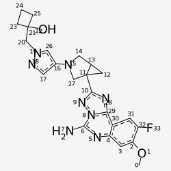 COc1cc2nc(N)n3nc(C45CC4CN(c4cnn(CC6(O)CCC6)c4)C5)nc3c2cc1F